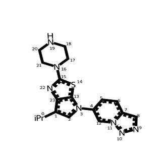 CC(C)c1cn(-c2ccc3cnnn3c2)c2sc(N3CCNCC3)nc12